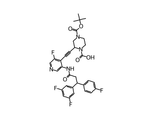 CC(C)(C)OC(=O)N1CCN(C(=O)O)C(C#Cc2c(F)cncc2NC(=O)CC(c2ccc(F)cc2)c2cc(F)cc(F)c2)C1